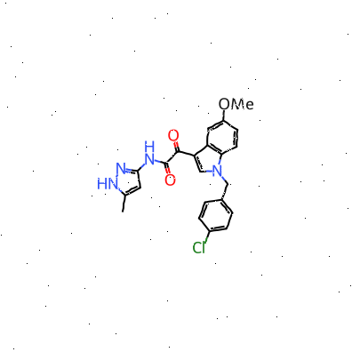 COc1ccc2c(c1)c(C(=O)C(=O)Nc1cc(C)[nH]n1)cn2Cc1ccc(Cl)cc1